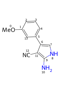 COc1cccc(-c2c[nH]c(N)c2C#N)c1